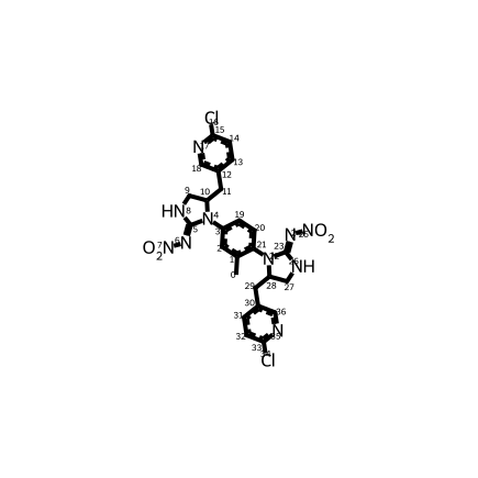 Cc1cc(N2C(=N[N+](=O)[O-])NCC2Cc2ccc(Cl)nc2)ccc1N1C(=N[N+](=O)[O-])NCC1Cc1ccc(Cl)nc1